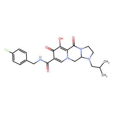 CC(C)CN1CCN2C(=O)c3c(O)c(=O)c(C(=O)NCc4ccc(F)cc4)cn3CC12